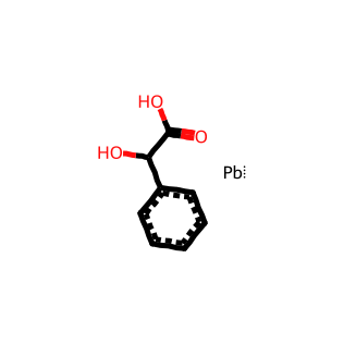 O=C(O)C(O)c1ccccc1.[Pb]